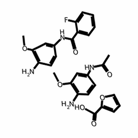 COc1cc(NC(=O)c2ccccc2F)ccc1N.COc1cc(NC(C)=O)ccc1N.O=C(O)c1ccco1